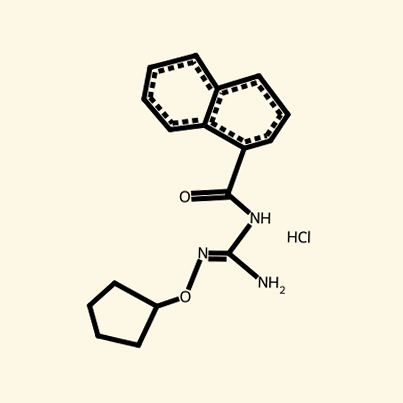 Cl.NC(=NOC1CCCC1)NC(=O)c1cccc2ccccc12